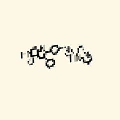 O=C(Nc1ccccn1)C1CCN(Cc2ccc(-c3nc4cc[nH]c(=O)c4cc3-c3ccccc3)cc2)C1